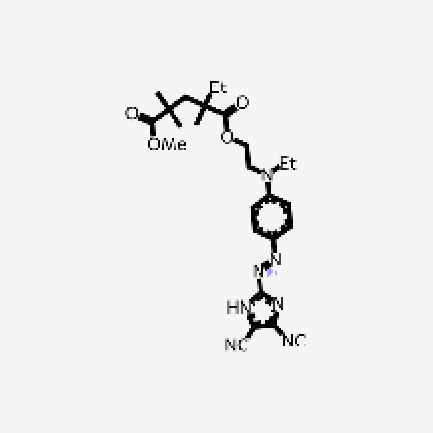 [C-]#[N+]c1nc(/N=N/c2ccc(N(CC)CCOC(=O)C(C)(CC)CC(C)(C)C(=O)OC)cc2)[nH]c1C#N